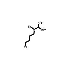 CCCC(CCC)N(CC)CCCCO